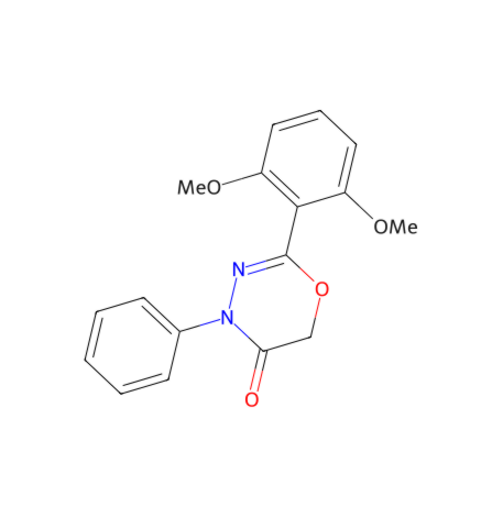 COc1cccc(OC)c1C1=NN(c2ccccc2)C(=O)CO1